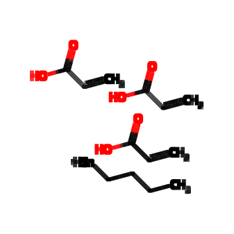 C=CC(=O)O.C=CC(=O)O.C=CC(=O)O.CCC[CH2][SnH]